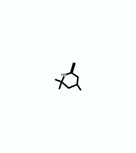 C=C1CC(C)CC(C)(C)N1